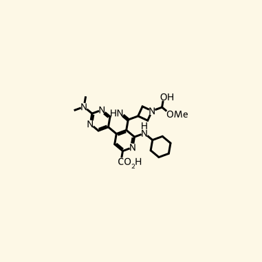 COC(O)N1CC(C(=N)c2c(-c3cnc(N(C)C)nc3)cc(C(=O)O)nc2NC2CCCCC2)C1